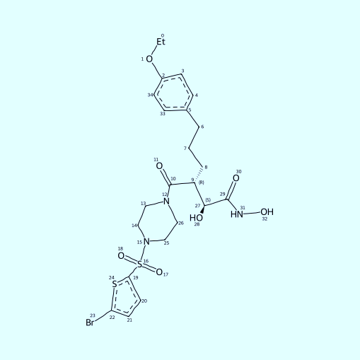 CCOc1ccc(CCC[C@@H](C(=O)N2CCN(S(=O)(=O)c3ccc(Br)s3)CC2)[C@H](O)C(=O)NO)cc1